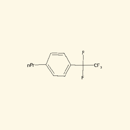 [CH2]CCc1ccc(C(F)(F)C(F)(F)F)cc1